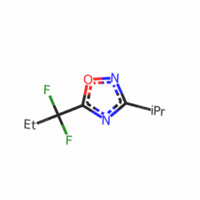 CCC(F)(F)c1nc(C(C)C)no1